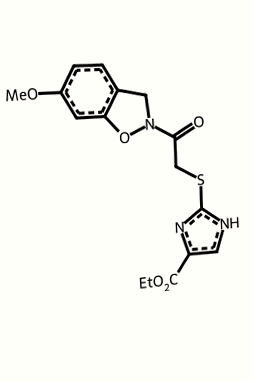 CCOC(=O)c1c[nH]c(SCC(=O)N2Cc3ccc(OC)cc3O2)n1